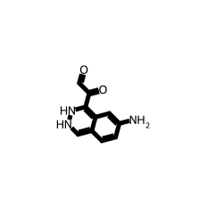 Nc1ccc2c(c1)=C(C(=O)C=O)NNC=2